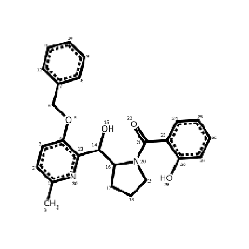 Cc1ccc(OCc2ccccc2)c(C(O)C2CCCN2C(=O)c2ccccc2O)n1